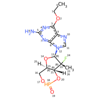 CCOc1nc(N)nc2c1ncn2[C@@H]1O[C@@H]2CO[PH](=O)O[C@H]2[C@@]1(C)F